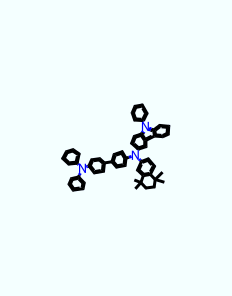 CC1(C)CCC(C)(C)c2cc(N(c3ccc(-c4ccc(N(c5ccccc5)c5ccccc5)cc4)cc3)c3ccc4c(c3)c3ccccc3n4-c3ccccc3)ccc21